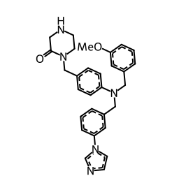 COc1cccc(CN(Cc2cccc(-n3ccnc3)c2)c2ccc(CN3CCNCC3=O)cc2)c1